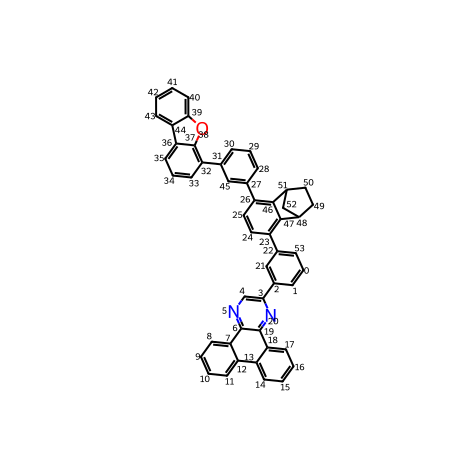 c1cc(-c2cnc3c4ccccc4c4ccccc4c3n2)cc(-c2ccc(-c3cccc(-c4cccc5c4oc4ccccc45)c3)c3c2C2CCC3C2)c1